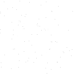 NC(=O)c1cc(C(F)F)[nH]n1